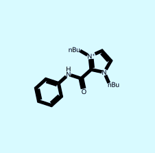 CCCCn1cc[n+](CCCC)c1C(=O)Nc1ccccc1